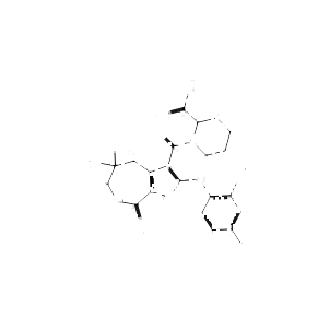 CC1(C)CNC(=O)c2sc(Nc3ccc(I)cc3F)c(C(=O)N3CCCCC3C(=O)O)c2C1